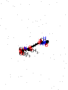 COc1cc(C2NC(=O)c3ccccc3N2)ccc1OCCCCCCCCCOc1cc(-c2cc(-c3cc(OC)c(OC)c(OC)c3)on2)ccc1OC